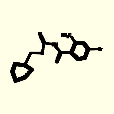 O=C(NC(=O)c1ccc(Br)cc1C(=O)O)OCc1ccccc1